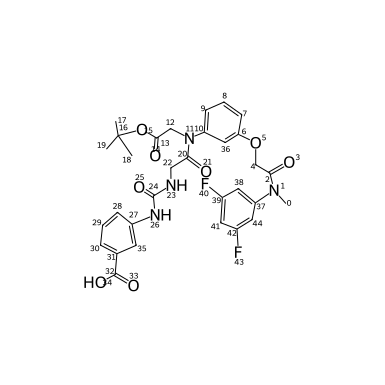 CN(C(=O)COc1cccc(N(CC(=O)OC(C)(C)C)C(=O)CNC(=O)Nc2cccc(C(=O)O)c2)c1)c1cc(F)cc(F)c1